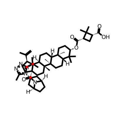 C=C(C)[C@@H]1CC[C@]2(C(=O)N3[C@@H]4CC[C@H]3C[C@H](n3c(C)nnc3C(C)C)C4)CC[C@]3(C)[C@H](CC[C@@H]4[C@@]5(C)CC[C@H](OC(=O)[C@H]6C[C@@H](C(=O)O)C6(C)C)C(C)(C)[C@@H]5CC[C@]43C)[C@@H]12